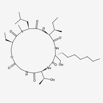 CCCCCCC[C@@]1(CO)NC(=O)[C@H]([C@H](C)CC)NC(=O)[C@H](CC(C)C)N(C)C(=O)[C@H](CC)COC(=O)CNC(=O)[C@H]([C@H](C)O)NC1=O